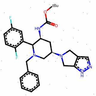 CC(C)(C)OC(=O)N[C@H]1C[C@@H](N2Cc3cn[nH]c3C2)CN(Cc2ccccc2)C1c1cc(F)ccc1F